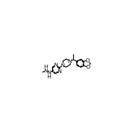 CNNc1cnc(N2CCN(C(C)c3ccc4c(c3)OCO4)CC2)nc1